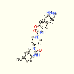 COC(=O)C(Cc1ccc2[nH]ncc2c1)NC(=O)N1CCC(N2Cc3cc(C#N)ccc3NC2=O)CC1